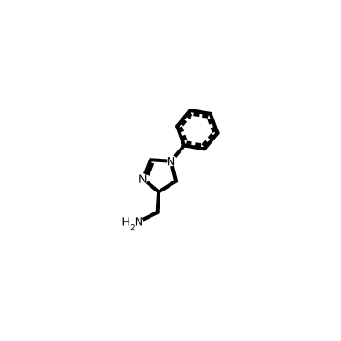 NCC1CN(c2ccccc2)C=N1